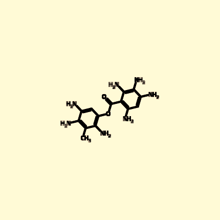 Cc1c(N)c(N)cc(OC(=O)c2c(N)cc(N)c(N)c2N)c1N